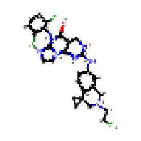 O=c1c2cnc(Nc3ccc4c(c3)CN(CCF)CC43CC3)nc2n2ccnc2n1-c1c(F)cccc1Cl